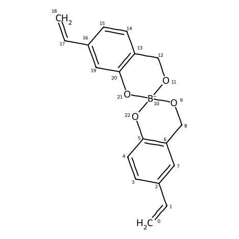 C=Cc1ccc2c(c1)CO[B-]1(OCc3ccc(C=C)cc3O1)O2